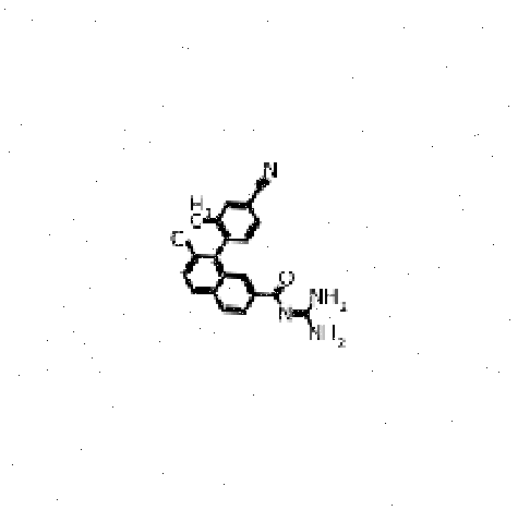 Cc1cc(C#N)ccc1-c1c(Cl)ccc2ccc(C(=O)N=C(N)N)cc12